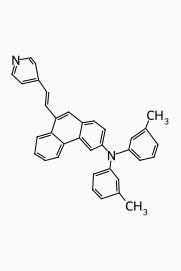 Cc1cccc(N(c2cccc(C)c2)c2ccc3cc(/C=C/c4ccncc4)c4ccccc4c3c2)c1